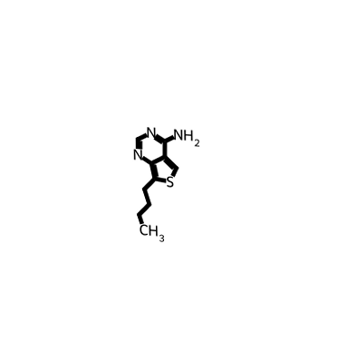 CCCCc1scc2c(N)ncnc12